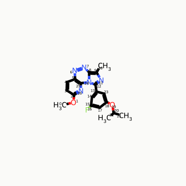 COc1ccc2nnc3c(C)nc(-c4cc(F)cc(OC(C)C)c4)n3c2n1